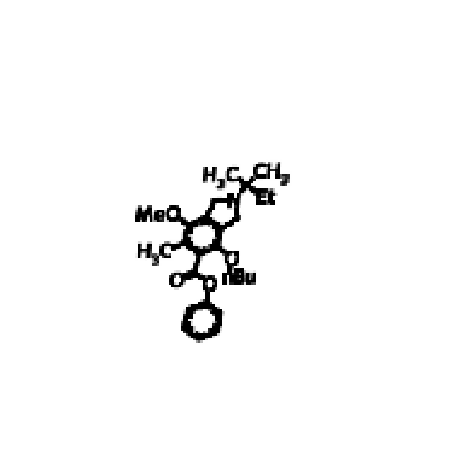 CCCCOc1c2c(c(OC)c(C)c1C(=O)Oc1ccccc1)CN(C(C)(C)CC)C2